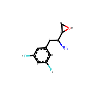 NC(Cc1cc(F)cc(F)c1)C1CO1